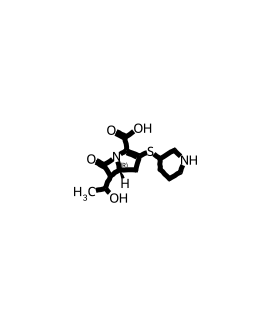 CC(O)C1C(=O)N2C(C(=O)O)=C(SC3CCCNC3)C[C@H]12